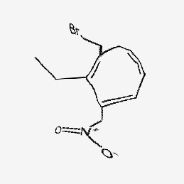 CCc1c(Br)cccc1[N+](=O)[O-]